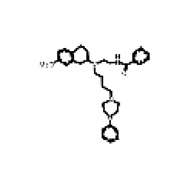 COc1ccc2c(c1)CC(N(CCCCN1CCN(c3ccccc3)CC1)CCNC(=O)c1ccccc1)CC2